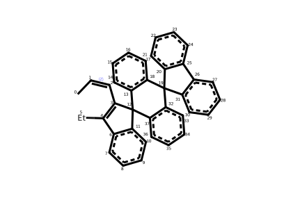 C/C=C\C1=C(CC)c2ccccc2C12c1ccccc1C1(c3ccccc3-c3ccccc31)c1ccccc12